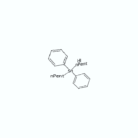 CCCC[CH2][Sn]([CH2]CCCC)([c]1ccccc1)[c]1ccccc1.I